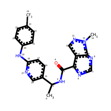 CC(NC(=O)c1ncnc2c1cnn2C)c1ccc(Nc2ccc(C(F)(F)F)cc2)nc1